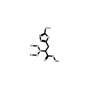 CCCCCCCCc1nnc(CC(C(=O)OC(C)(C)C)P(OCC)OCC)o1